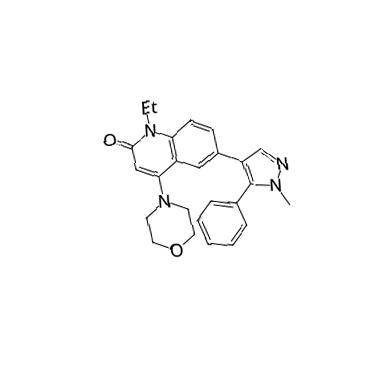 CCn1c(=O)cc(N2CCOCC2)c2cc(-c3cnn(C)c3-c3ccccc3)ccc21